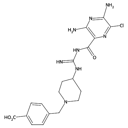 N=C(NC(=O)c1nc(Cl)c(N)nc1N)NC1CCN(Cc2ccc(C(=O)O)cc2)CC1